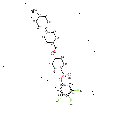 CCC[C@H]1CC[C@H]([C@H]2CC[C@H](CO[C@H]3CC[C@H](C(=O)Oc4cc(F)c(F)c(F)c4)CC3)CC2)CC1